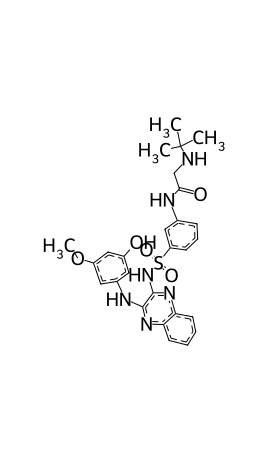 COc1cc(O)cc(Nc2nc3ccccc3nc2NS(=O)(=O)c2cccc(NC(=O)CNC(C)(C)C)c2)c1